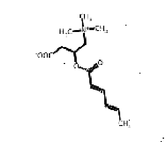 CC=CC=CC(=O)OC(CC(=O)[O-])C[N+](C)(C)C